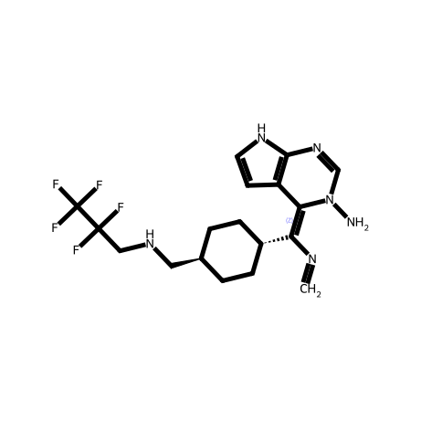 C=N/C(=C1/c2cc[nH]c2N=CN1N)[C@H]1CC[C@H](CNCC(F)(F)C(F)(F)F)CC1